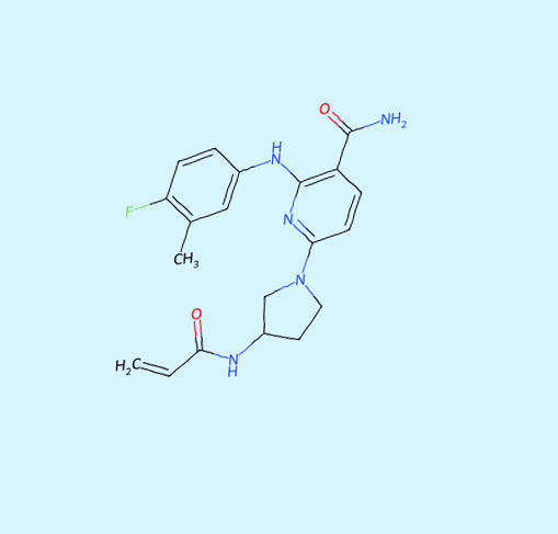 C=CC(=O)NC1CCN(c2ccc(C(N)=O)c(Nc3ccc(F)c(C)c3)n2)C1